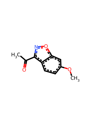 COc1ccc2c(C(C)=O)noc2c1